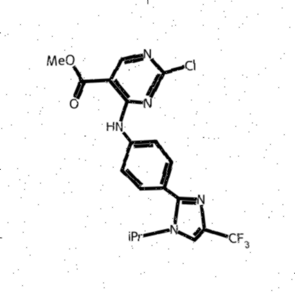 COC(=O)c1cnc(Cl)nc1Nc1ccc(-c2nc(C(F)(F)F)cn2C(C)C)cc1